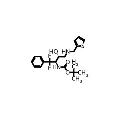 CC(C)(C)OC(=O)N[C@H]([C@H](O)CNCc1cccs1)C(F)(F)c1ccccc1